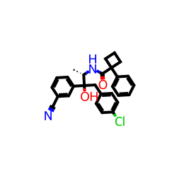 C[C@H](NC(=O)C1(c2ccccc2)CCC1)C(O)(Cc1ccc(Cl)cc1)c1cccc(C#N)c1